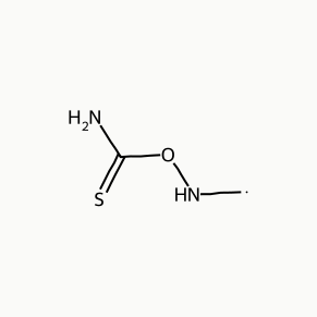 [CH2]NOC(N)=S